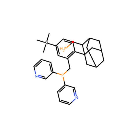 C[Si](C)(C)c1ccc(C23CC4CC(CC(C4)C2CP)C3)c(CP(c2cccnc2)c2cccnc2)c1